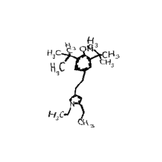 CCc1cc(CCc2cc(C(C)(C)C)c(O)c(C(C)(C)C)c2)cn1CC